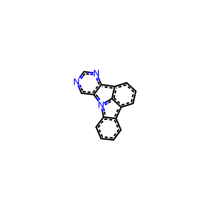 c1ccc2c(c1)c1cccc3c4ncncc4n2c13